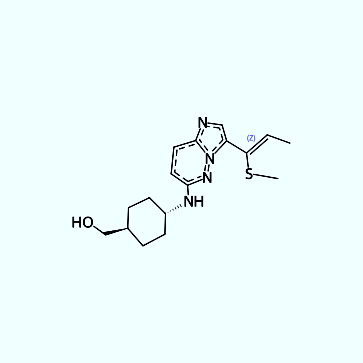 C/C=C(\SC)c1cnc2ccc(N[C@H]3CC[C@H](CO)CC3)nn12